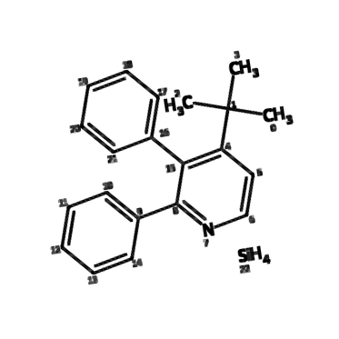 CC(C)(C)c1ccnc(-c2ccccc2)c1-c1ccccc1.[SiH4]